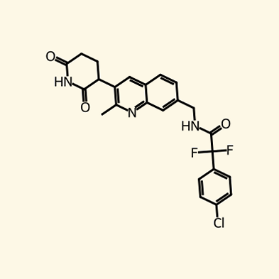 Cc1nc2cc(CNC(=O)C(F)(F)c3ccc(Cl)cc3)ccc2cc1C1CCC(=O)NC1=O